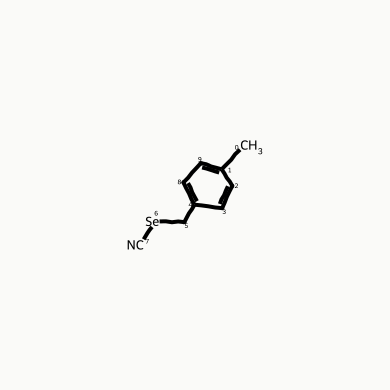 Cc1ccc(C[Se]C#N)cc1